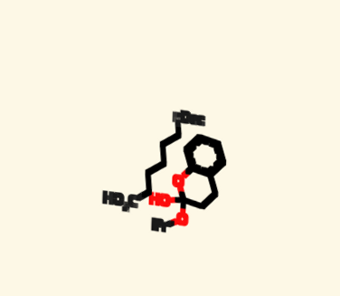 CC(C)OC1(O)CCc2ccccc2O1.CCCCCCCCCCCCCCCC(=O)O